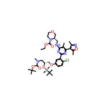 CCOC(=O)N1CCOC[C@H]1CNc1nc(-c2cc(OC[C@@H](CN(C)C(=O)OC(C)(C)C)O[Si](C)(C)C(C)(C)C)ccc2Cl)nc(-c2c(C)noc2C)c1C